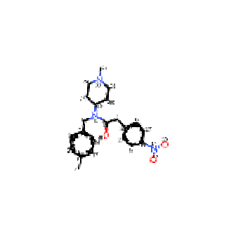 Cc1ccc(CN(C(=O)Cc2ccc([N+](=O)[O-])cc2)C2CCN(C)CC2)cc1